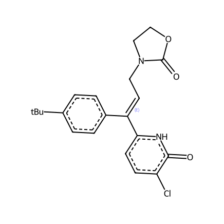 CC(C)(C)c1ccc(/C(=C\CN2CCOC2=O)c2ccc(Cl)c(=O)[nH]2)cc1